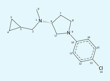 CN(CC1CC1)[C@@H]1CCN(c2ccc(Cl)cc2)C1